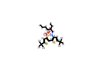 CCCCC(CC)CN1c2cc(C(C)(C)C)sc2-c2sc(C(C)(C)C)cc2S1(=O)=O